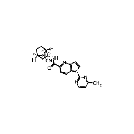 Cc1ccnc(-n2ccc3nc(C(=O)N[C@@H]4C[C@@H]5CC[C@H]4N5C#N)ccc32)n1